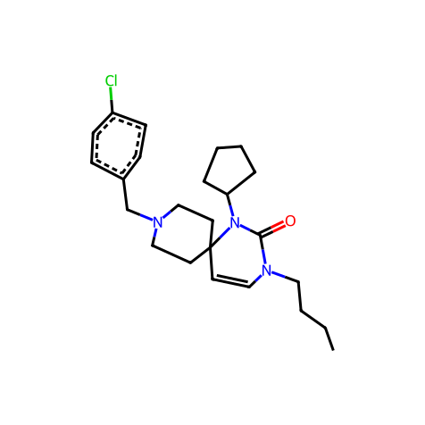 CCCCN1C=CC2(CCN(Cc3ccc(Cl)cc3)CC2)N(C2CCCC2)C1=O